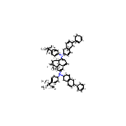 CC(C)(C)C1=CCC(N(C2=CC3=CC=C(N(c4ccc(C(C)(C)C)cc4)C4C=CC5=C(C=CC(c6ccccc6)C5)C4)C4CCC(C)(C)C(C2)C34)C2C=CC3=C(C=CC(c4ccccc4)C3)C2)C=C1